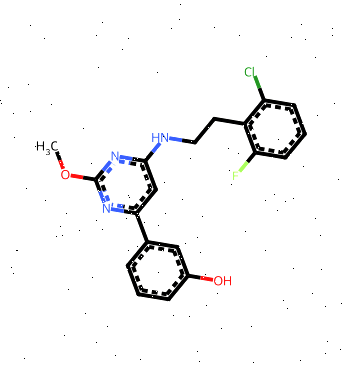 COc1nc(NCCc2c(F)cccc2Cl)cc(-c2cccc(O)c2)n1